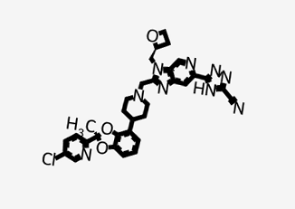 C[C@]1(c2ccc(Cl)cn2)Oc2cccc(C3CCN(Cc4nc5cc(-c6nnc(C#N)[nH]6)ncc5n4C[C@@H]4CCO4)CC3)c2O1